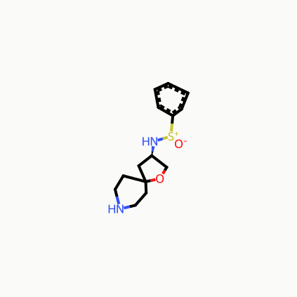 [O-][S+](N[C@H]1COC2(CCNCC2)C1)c1ccccc1